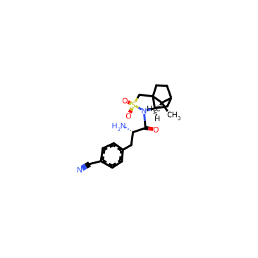 CC1(C)C2CCC13CS(=O)(=O)N(C(=O)[C@@H](N)Cc1ccc(C#N)cc1)[C@@H]3C2